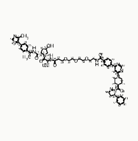 Cc1ncsc1-c1ccc([C@H](C)NC(=O)[C@@H]2C[C@@H](O)CN2C(=O)[C@@H](NC(=O)CCOCCOCCOCCNC(=O)c2ccc(-c3cc(N4CCC(C(=O)N5N=CCC5c5ccccc5)CC4)ncn3)cc2)C(C)(C)C)cc1